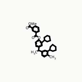 COC(=O)c1cccc(C(=O)Oc2ccc(C(C)c3ccc(C)c(C4CCCCC4)c3)cc2C2CCCCC2)c1